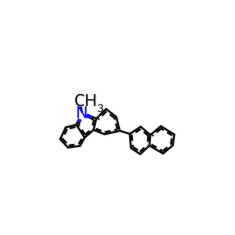 Cn1c2ccccc2c2cc(-c3ccc4ccccc4c3)ccc21